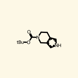 CC(C)(C)OC(=O)N1CCc2c[nH]cc2C1